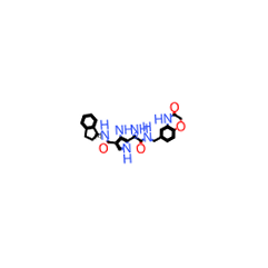 N=C(C(=O)NCc1ccc2c(c1)NC(=O)CO2)c1[nH]cc(C(=O)N[C@@H]2CCc3ccccc32)c1N